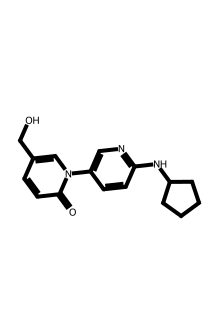 O=c1ccc(CO)cn1-c1ccc(NC2CCCC2)nc1